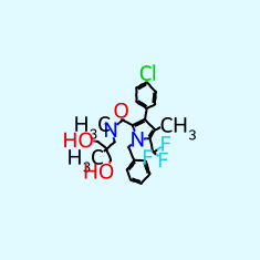 Cc1c(-c2ccc(Cl)cc2)c(C(=O)N(C)CC(C)(CO)CO)n(Cc2ccccc2)c1C(F)(F)F